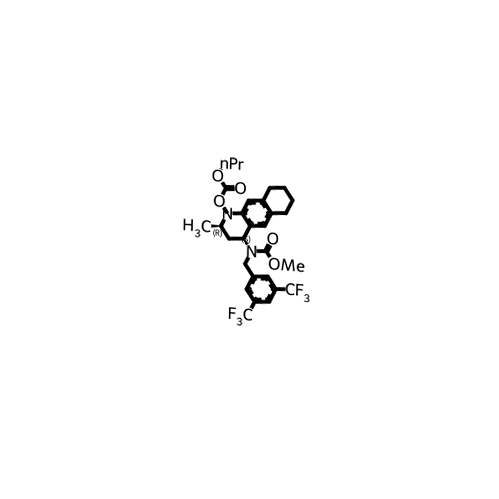 CCCOC(=O)ON1c2cc3c(cc2[C@@H](N(Cc2cc(C(F)(F)F)cc(C(F)(F)F)c2)C(=O)OC)C[C@H]1C)CCCC3